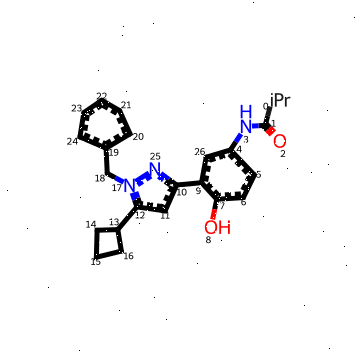 CC(C)C(=O)Nc1ccc(O)c(-c2cc(C3CCC3)n(Cc3ccccc3)n2)c1